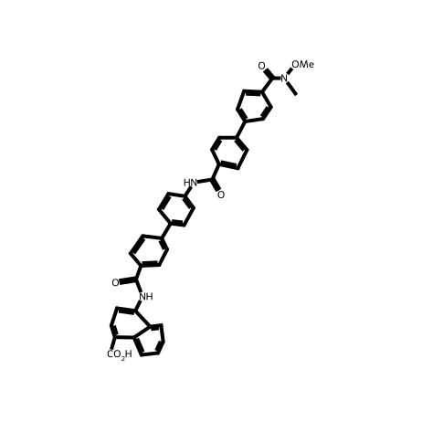 CON(C)C(=O)c1ccc(-c2ccc(C(=O)Nc3ccc(-c4ccc(C(=O)Nc5ccc(C(=O)O)c6ccccc56)cc4)cc3)cc2)cc1